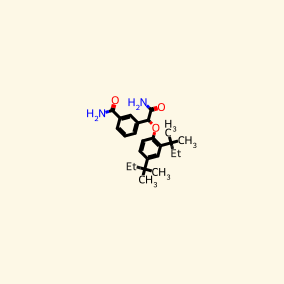 CCC(C)(C)c1ccc(OC(C(N)=O)c2cccc(C(N)=O)c2)c(C(C)(C)CC)c1